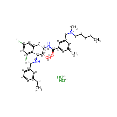 CCCCCN(C)Cc1cc(C)cc(C(=O)N[C@@H](Cc2cc(F)cc(F)c2)[C@H](O)CNCc2cccc(CC)c2)c1.Cl.Cl